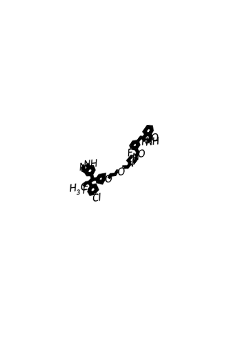 CCC(=C(c1ccc(OCCCOCCN2CCN(C(=O)c3cc(Cc4n[nH]c(=O)c5ccccc45)ccc3F)CC2)cc1)c1ccc2[nH]ncc2c1)c1ccc(Cl)cc1F